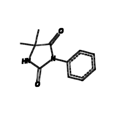 CC1(C)NC(=O)N(c2ccccc2)C1=O